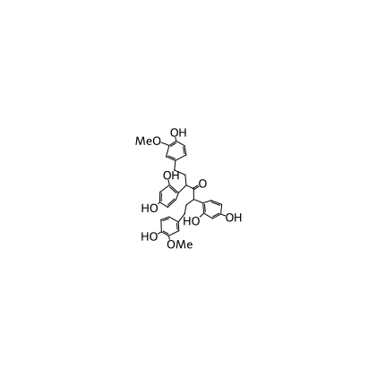 COc1cc(CCC(C(=O)C(CCc2ccc(O)c(OC)c2)c2ccc(O)cc2O)c2ccc(O)cc2O)ccc1O